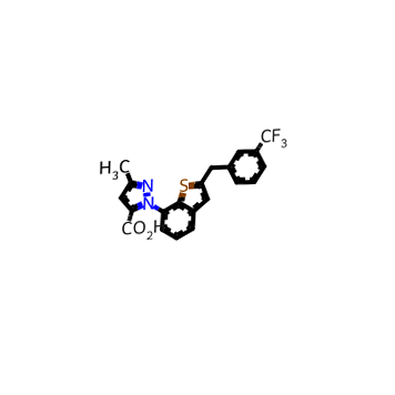 Cc1cc(C(=O)O)n(-c2cccc3cc(Cc4cccc(C(F)(F)F)c4)sc23)n1